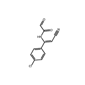 N#CC=C(NC(=O)C=O)c1ccc(Cl)cc1